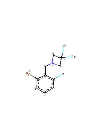 Fc1cccc(Br)c1CN1CC(F)(F)C1